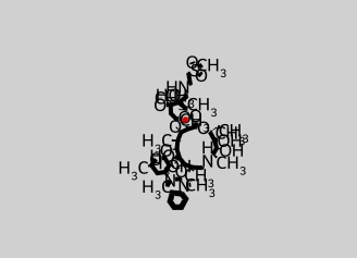 CC[C@H]1OC(=O)[C@H](C)[C@@H](O[C@H]2C[C@@](C)(OC)[C@](O)(CNCCS(C)(=O)=O)[C@H](C)O2)[C@H](C)[C@@H](O[C@@H]2O[C@H](C)C[C@H](N(C)C(=O)N(C)c3ccccc3)[C@H]2O)[C@](C)(O)C[C@@H](C)CN[C@H](C)[C@@H](O)[C@]1(C)O